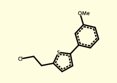 COc1cccc(-c2ccc(CCCl)s2)c1